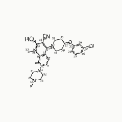 CN1CCN(c2ccc3c(c2)N(C)C(O)C(C#N)=C3N2CCC(Oc3cccc(Cl)c3)CC2)CC1